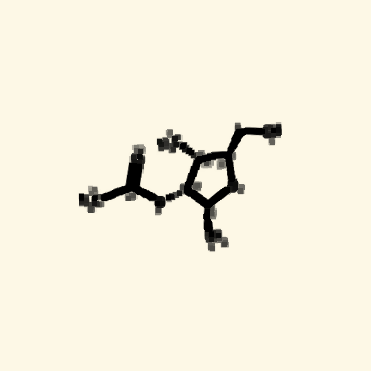 B[C@@H]1O[C@H](CO)[C@@H](C)[C@H]1OC(C)=O